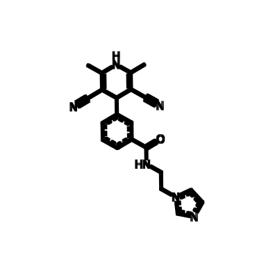 CC1=C(C#N)C(c2cccc(C(=O)NCCn3ccnc3)c2)C(C#N)=C(C)N1